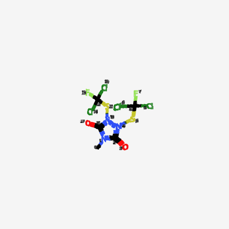 Cn1c(=O)n(SC(F)(Cl)Cl)n(SC(F)(Cl)Cl)c1=O